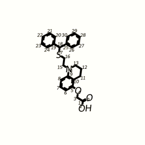 O=C(O)COc1cccc2c1CCCN2CCSC(c1ccccc1)c1ccccc1